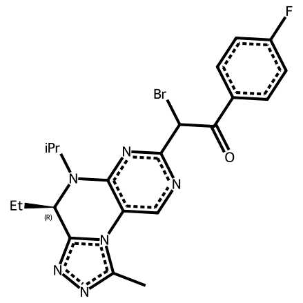 CC[C@@H]1c2nnc(C)n2-c2cnc(C(Br)C(=O)c3ccc(F)cc3)nc2N1C(C)C